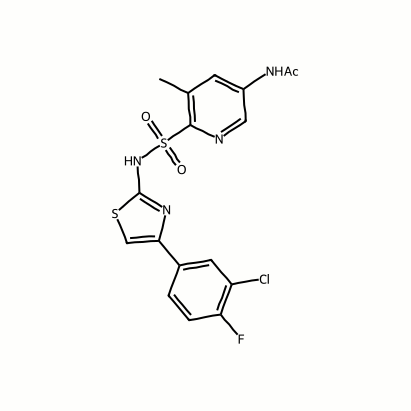 CC(=O)Nc1cnc(S(=O)(=O)Nc2nc(-c3ccc(F)c(Cl)c3)cs2)c(C)c1